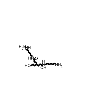 NCCCCCCNC(O)CCC(CCCO)CCC(=O)NCCCCCCNN